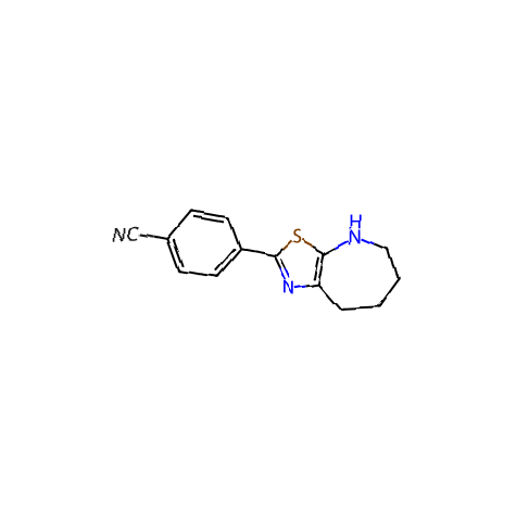 N#Cc1ccc(-c2nc3c(s2)NCCCC3)cc1